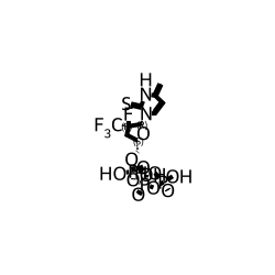 C=C1C=CN([C@@H]2O[C@H](COP(=O)(O)OP(=O)(O)OP(=O)(O)O)C[C@]2(F)C(F)(F)F)C(=S)N1